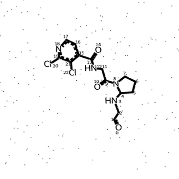 O=CCNC1CCCN1C(=O)CNC(=O)c1ccnc(Cl)c1Cl